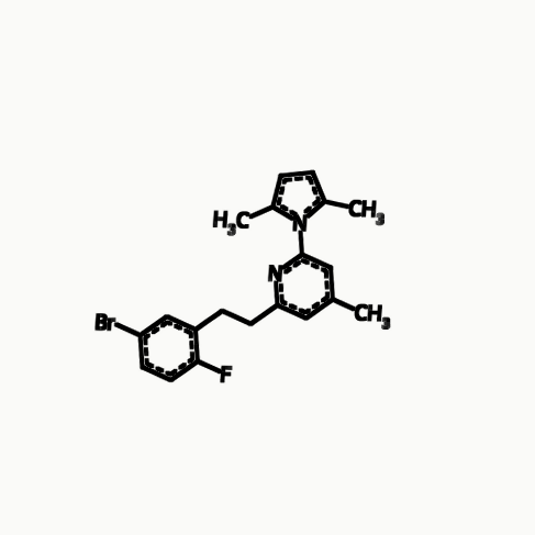 Cc1cc(CCc2cc(Br)ccc2F)nc(-n2c(C)ccc2C)c1